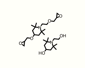 CC1(C)CC(O)CC(C)(C)N1CCO.CC1(C)CC(OCC2CO2)CC(C)(C)N1CCOCC1CO1